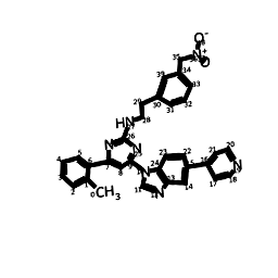 Cc1ccccc1-c1cc(-n2cnc3cc(-c4ccncc4)ccc32)nc(NCCc2cccc(C[N+](=O)[O-])c2)n1